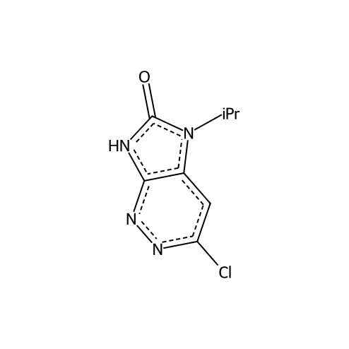 CC(C)n1c(=O)[nH]c2nnc(Cl)cc21